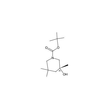 CC1(C)CN(C(=O)OC(C)(C)C)C[C@](C)(O)C1